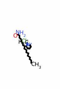 C=[N+]1C=CC=CC1.CCCCCCCCCCCCCCCCCC(N)=O.[Cl-]